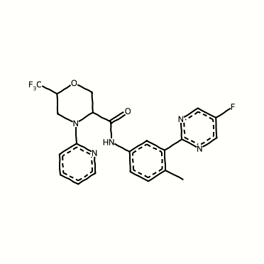 Cc1ccc(NC(=O)C2COC(C(F)(F)F)CN2c2ccccn2)cc1-c1ncc(F)cn1